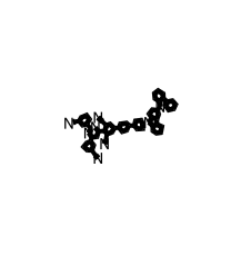 N#Cc1cccc(-c2cc(-c3c(C#N)cc(-c4ccc(-c5ccc(-n6c7ccccc7c7cc(-n8c9ccccc9c9ccccc98)ccc76)cc5)cc4)cc3C#N)nc(-c3cccc(C#N)c3)n2)c1